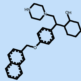 OC1CCCCC1C(CN1CCNCC1)c1ccc(OCc2ccc3ccccc3c2)cc1